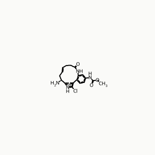 COC(=O)Nc1ccc2c(c1)NC(=O)CC/C=C/C[C@H](N)c1nc-2c(Cl)[nH]1